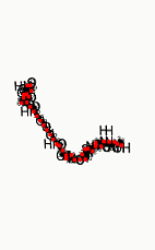 CC(C)(C)/C(O)=C/C(=N)NC(=O)Nc1ccc(-c2cn3c(n2)sc2cc(OCCN4CCN(C(=O)CCC(=O)NCCCOCCOCCOCCCNC(=O)COc5cccc6c5C(=O)N(C5CCC(=O)NC5=O)C6=O)CC4)ccc23)cc1